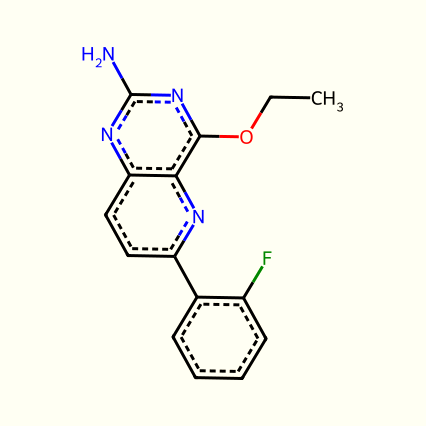 CCOc1nc(N)nc2ccc(-c3ccccc3F)nc12